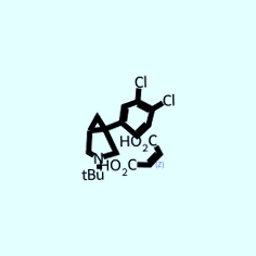 CC(C)(C)N1CC2CC2(c2ccc(Cl)c(Cl)c2)C1.O=C(O)/C=C\C(=O)O